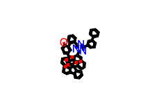 c1ccc(-c2cccc(-c3nc(-c4cccc(-c5ccccc5)c4)nc(-c4cccc5oc6ccc(-c7ccc8c(c7)-c7ccccc7C87c8ccccc8-c8ccccc87)cc6c45)n3)c2)cc1